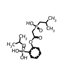 CC(C)CP(=O)(O)CC(=O)Oc1ccccc1[PH](O)(O)OC(C)C